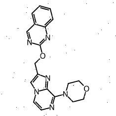 c1ccc2nc(OCc3cn4ccnc(N5CCOCC5)c4n3)ncc2c1